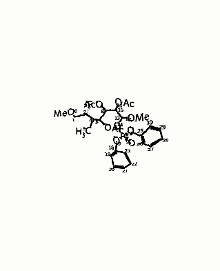 COC[C@H](F)C(C)C(OC(C)=O)C(OC(C)=O)C(OC(C)=O)C(OC)OP(=O)(Oc1ccccc1)Oc1ccccc1